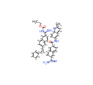 CCOC(=O)NC(=N)c1ccc2cc(C3CC3c3ccccc3)ccc2c1.Cc1ccc2cc(NC(=O)c3ccc4cc(C(=N)N)ccc4c3)ccc2n1